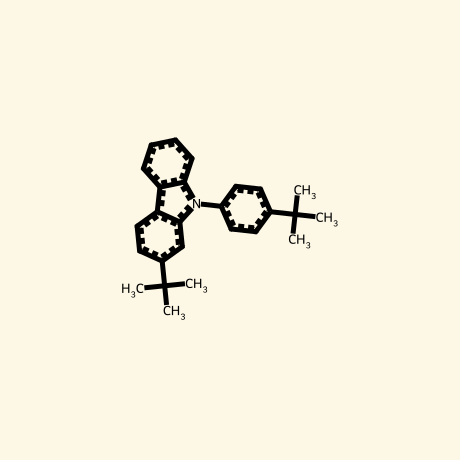 CC(C)(C)c1ccc(-n2c3ccccc3c3ccc(C(C)(C)C)cc32)cc1